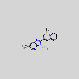 CCSC/C(=C\c1ccccn1)c1nc2cc(C(F)(F)F)cnc2n1C